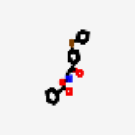 O=C(/C=N/OC(=O)c1ccccc1)c1ccc(Sc2ccccc2)cc1